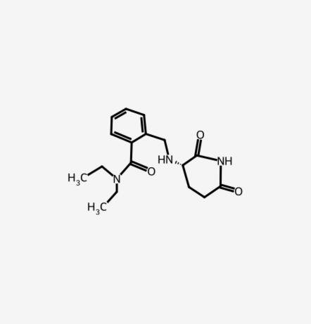 CCN(CC)C(=O)c1ccccc1CN[C@H]1CCC(=O)NC1=O